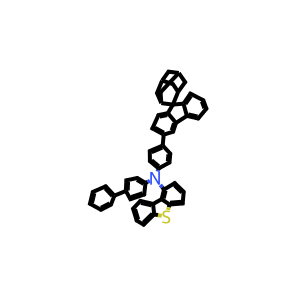 c1ccc(-c2ccc(N(c3ccc(-c4ccc5c(c4)-c4ccccc4C54C5CC6CC(C5)CC4C6)cc3)c3cccc4sc5ccccc5c34)cc2)cc1